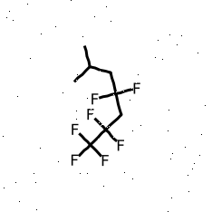 CC(C)CC(F)(F)CC(F)(F)C(F)(F)F